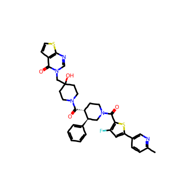 Cc1ccc(-c2cc(F)c(C(=O)N3CC[C@@H](C(=O)N4CCC(O)(Cn5cnc6sccc6c5=O)CC4)[C@H](c4ccccc4)C3)s2)cn1